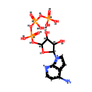 Nc1ccnc2c1ccn2C1OC(OP(=O)(O)OP(=O)(O)OP(=O)(O)O)C(O)C1O